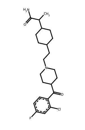 CC(C(N)=O)C1CCC(CCN2CCC(C(=O)c3ccc(F)cc3Cl)CC2)CC1